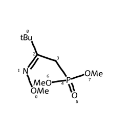 CO/N=C(\CP(=O)(OC)OC)C(C)(C)C